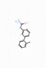 Cc1ccccc1-c1cccc(CC(N)=O)c1